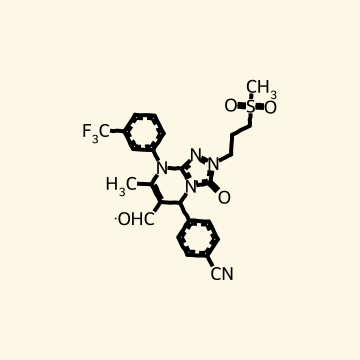 CC1=C([C]=O)C(c2ccc(C#N)cc2)n2c(nn(CCCS(C)(=O)=O)c2=O)N1c1cccc(C(F)(F)F)c1